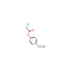 CCOC(=O)c1ccc(OC(=O)CCl)cc1